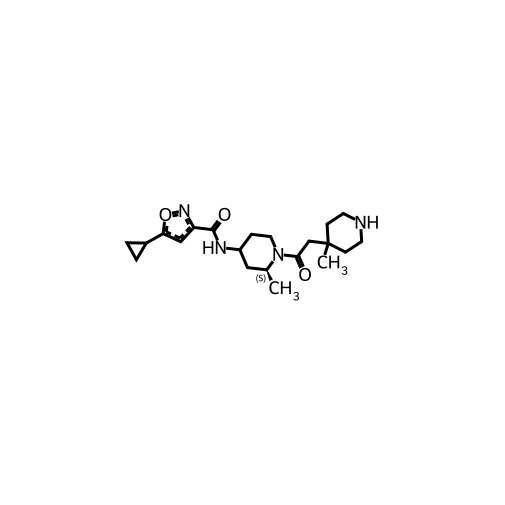 C[C@H]1CC(NC(=O)c2cc(C3CC3)on2)CCN1C(=O)CC1(C)CCNCC1